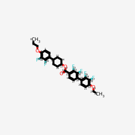 CCCOc1ccc(C2CCC(OC(=O)c3ccc(-c4ccc(OCC)c(F)c4F)c(F)c3F)CC2)c(F)c1F